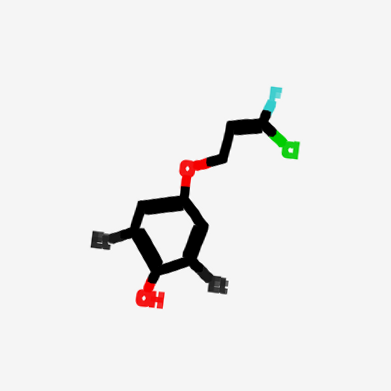 CCc1cc(OCC=C(F)Cl)cc(CC)c1O